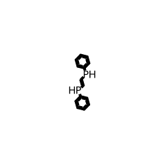 C(=CPc1ccccc1)Pc1ccccc1